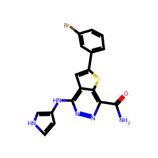 NC(=O)c1nnc(Nc2cc[nH]c2)c2cc(-c3cccc(Br)c3)sc12